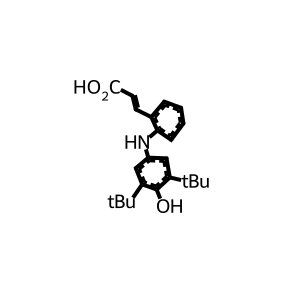 CC(C)(C)c1cc(Nc2ccccc2C=CC(=O)O)cc(C(C)(C)C)c1O